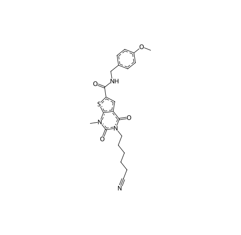 COc1ccc(CNC(=O)c2cc3c(=O)n(CCCCCC#N)c(=O)n(C)c3s2)cc1